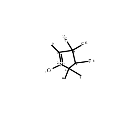 CC1=[N+]([O-])C(C)(C)C(F)C1(F)F